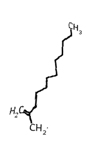 [CH2]C(=C)CCCCCCCCCC